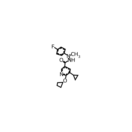 CN(NC(=O)c1cnc(OC2CCC2)c(C2CC2)c1)c1ccc(F)cc1